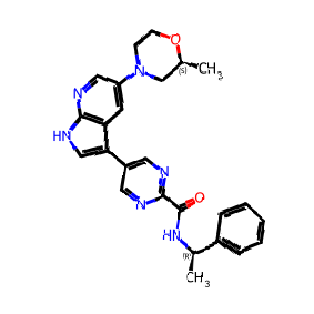 C[C@H]1CN(c2cnc3[nH]cc(-c4cnc(C(=O)N[C@H](C)c5ccccc5)nc4)c3c2)CCO1